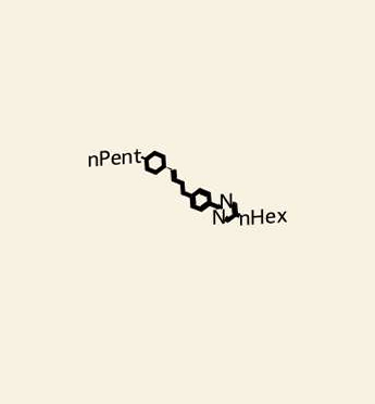 CCCCCCc1cnc(-c2ccc(CC/C=C/[C@H]3CC[C@H](CCCCC)CC3)cc2)nc1